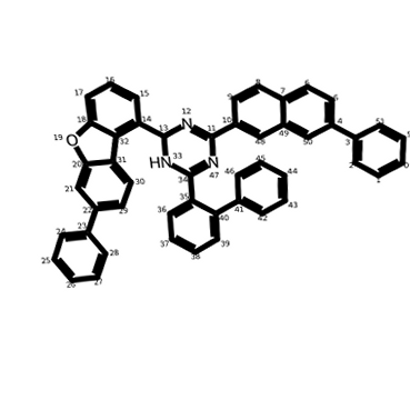 c1ccc(-c2ccc3ccc(C4=NC(c5cccc6oc7cc(-c8ccccc8)ccc7c56)NC(c5ccccc5-c5ccccc5)=N4)cc3c2)cc1